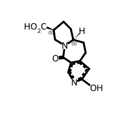 O=C(O)[C@H]1CC[C@H]2CCc3cc(O)ncc3C(=O)N2C1